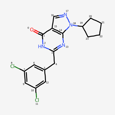 O=c1[nH]c(Cc2cc(Cl)cc(Cl)c2)nc2c1cnn2C1CCCC1